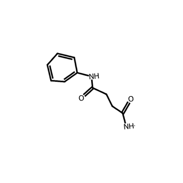 [NH]C(=O)CCC(=O)Nc1ccccc1